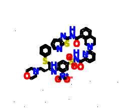 O=C(NS(=O)(=O)c1ccc(N[C@H](CCN2CCOCC2)CSc2ccccc2)c([N+](=O)[O-])c1)c1cccc(N2CCc3cccc(C(=O)Nc4nc5cccnc5s4)c3C2)n1